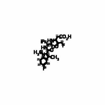 Cc1c(C(=O)N[C@H](C(=O)NC(CC(=O)O)C(=O)CF)C(C)C)n(C)c2ccc(F)cc12